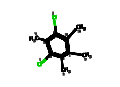 Cc1c(C)c(Cl)c(C)c(Cl)c1C